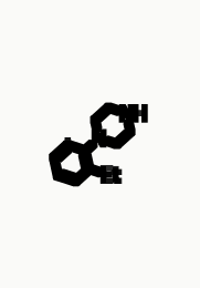 CCc1ccc[c]c1N1CCNCC1